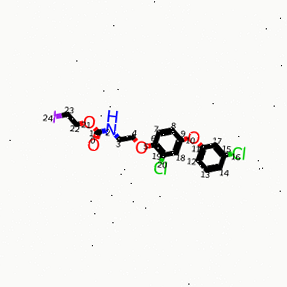 O=C(NCCOc1ccc(Oc2cccc(Cl)c2)cc1Cl)OCCI